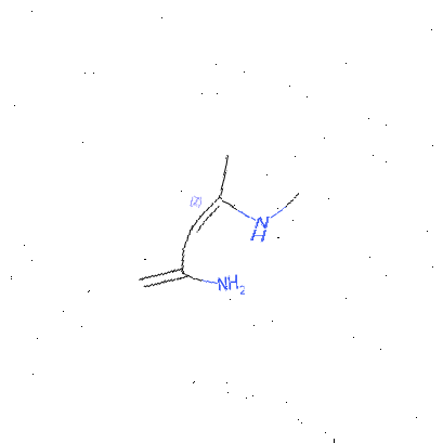 C=C(N)/C=C(/C)NC